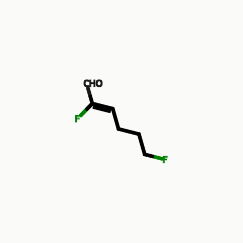 O=C/C(F)=C/CCCF